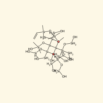 C=C[Si](C)(C)O[Si](C)(C)O[Si](O[Si](O[SiH2]O)([SiH2]O)[SiH2]O)([Si](O[SiH2]O)([SiH2]O)[SiH2]O)[Si](O[Si](C)(C)O)([Si]([SiH3])(OC)[SiH2]O)[Si](O[SiH2]O)([SiH2]O)[SiH2]O